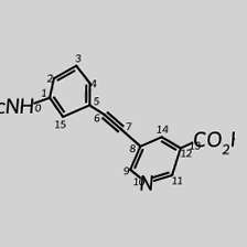 CC(=O)Nc1cccc(C#Cc2cncc(C(=O)O)c2)c1